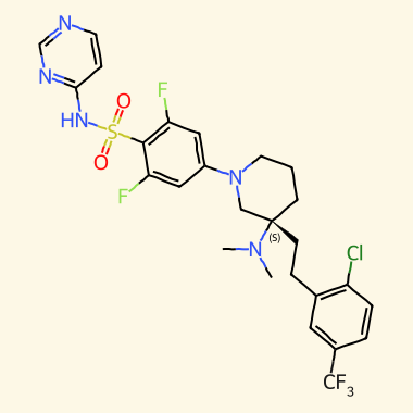 CN(C)[C@@]1(CCc2cc(C(F)(F)F)ccc2Cl)CCCN(c2cc(F)c(S(=O)(=O)Nc3ccncn3)c(F)c2)C1